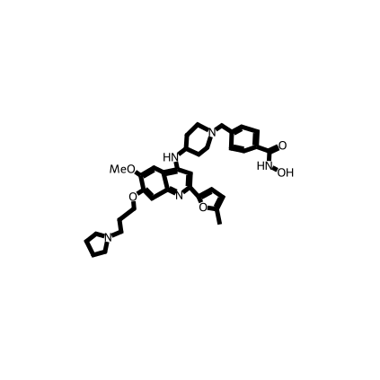 COc1cc2c(NC3CCN(Cc4ccc(C(=O)NO)cc4)CC3)cc(-c3ccc(C)o3)nc2cc1OCCCN1CCCC1